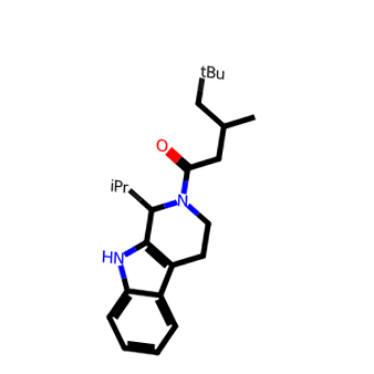 CC(CC(=O)N1CCc2c([nH]c3ccccc23)C1C(C)C)CC(C)(C)C